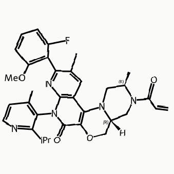 C=CC(=O)N1C[C@@H]2COc3c(c4cc(C)c(-c5c(F)cccc5OC)nc4n(-c4c(C)ccnc4C(C)C)c3=O)N2C[C@H]1C